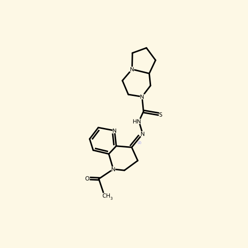 CC(=O)N1CC/C(=N/NC(=S)N2CCN3CCCC3C2)c2ncccc21